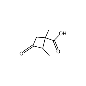 CC1C(=O)CC1(C)C(=O)O